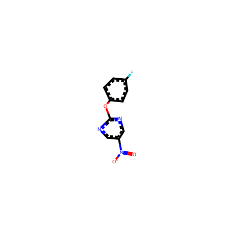 O=[N+]([O-])c1cnc(Oc2ccc(F)cc2)nc1